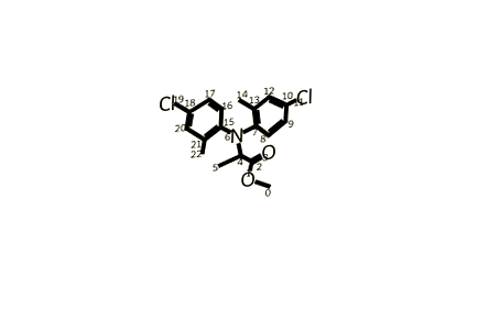 COC(=O)C(C)N(c1ccc(Cl)cc1C)c1ccc(Cl)cc1C